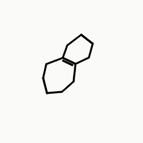 C1CCC2=C(CC1)CCCC2